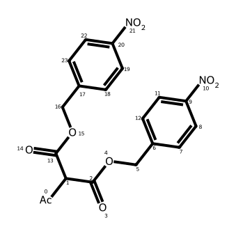 CC(=O)C(C(=O)OCc1ccc([N+](=O)[O-])cc1)C(=O)OCc1ccc([N+](=O)[O-])cc1